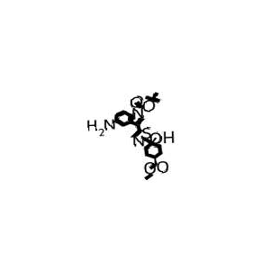 CCOC(=O)[C@H]1CC[C@](O)(c2ncc(-c3cn(C(=O)OC(C)(C)C)c4ccc(N)cc34)s2)CC1